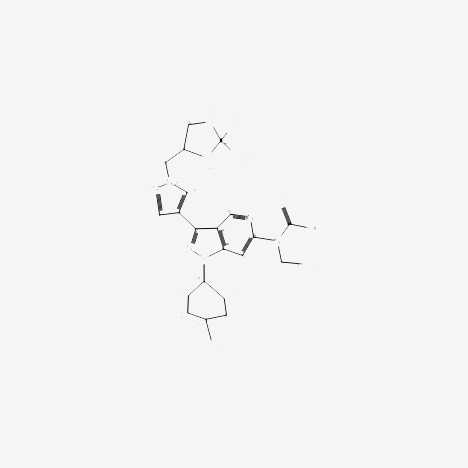 CCN(C(=O)O)c1cc2c(cn1)c(-c1cnn(CC3COC(C)(C)O3)c1)nn2C1CCC(O)CC1